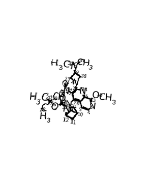 COc1nccc2c(NC3C4CC3N(C(=O)OC(C)(C)C)C4)c([N+](=O)[O-])c(N3CC(N(C)C)C3)nc12